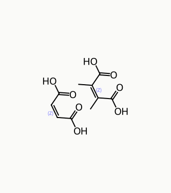 C/C(C(=O)O)=C(\C)C(=O)O.O=C(O)/C=C\C(=O)O